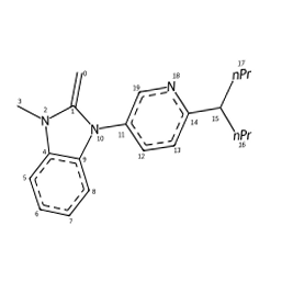 C=C1N(C)c2ccccc2N1c1ccc(C(CCC)CCC)nc1